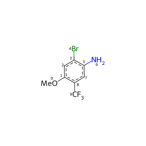 COc1cc(Br)c(N)cc1C(F)(F)F